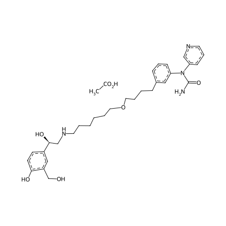 CC(=O)O.NC(=O)N(c1cccnc1)c1cccc(CCCCOCCCCCCNC[C@H](O)c2ccc(O)c(CO)c2)c1